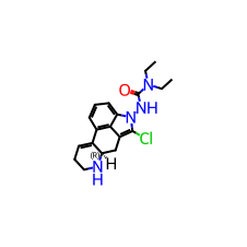 CCN(CC)C(=O)Nn1c(Cl)c2c3c(cccc31)C1=CCCN[C@@H]1C2